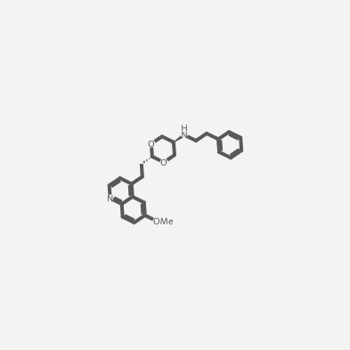 COc1ccc2nccc(CC[C@H]3OC[C@H](NCCc4ccccc4)CO3)c2c1